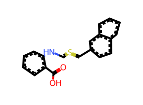 O=C(O)c1ccccc1NC=S=Cc1ccc2ccccc2c1